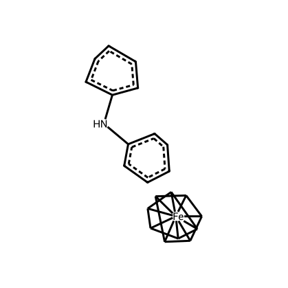 [CH]12[CH]3[CH]4[CH]5[CH]1[Fe]23451678[CH]2[CH]1[CH]6[CH]7[CH]28.c1ccc(Nc2ccccc2)cc1